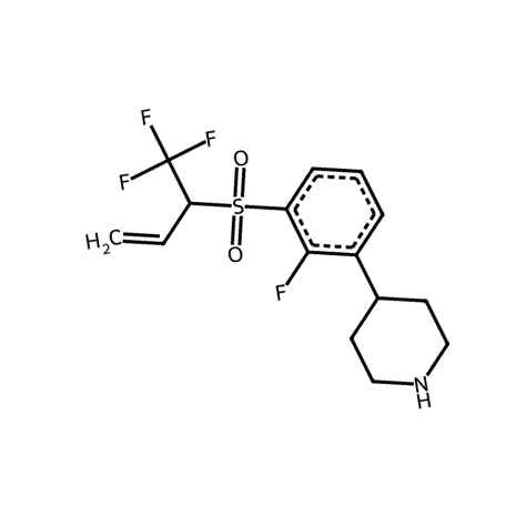 C=CC(C(F)(F)F)S(=O)(=O)c1cccc(C2CCNCC2)c1F